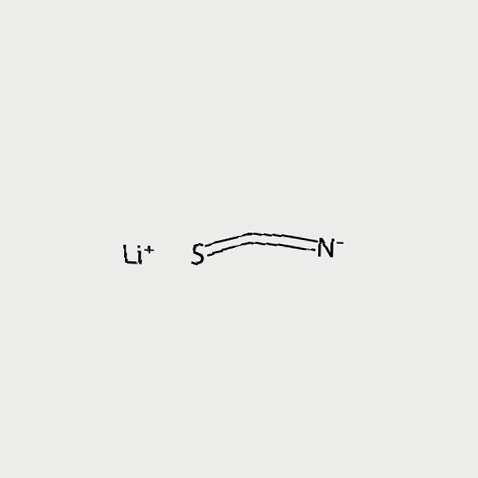 [Li+].[N-]=C=S